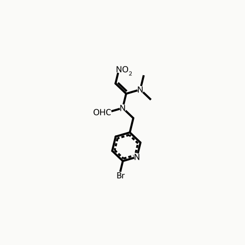 CN(C)C(=C[N+](=O)[O-])N(C=O)Cc1ccc(Br)nc1